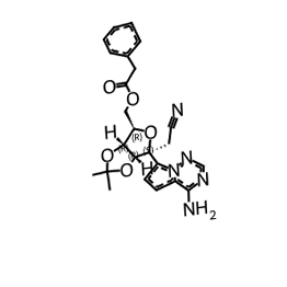 CC1(C)O[C@H]2[C@@H](O1)[C@](CC#N)(c1ccc3c(N)ncnn13)O[C@@H]2COC(=O)Cc1ccccc1